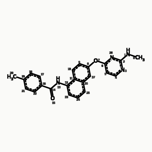 CNc1nccc(Oc2ccc3c(NC(=O)c4ccc(C)cc4)cccc3c2)n1